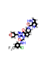 O=C(Cn1c2c(c(=O)n3nc(C4=CCOCC4)nc13)C1(CC2)CCN(C(=O)c2nccc3cc[nH]c23)CC1)Nc1ccc(C(F)(F)F)cc1Cl